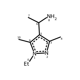 CCn1nc(C)c(C(C)N)c1C